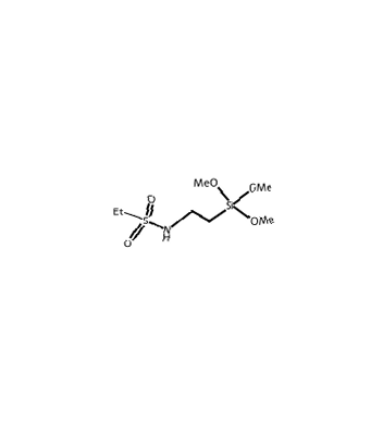 CCS(=O)(=O)NCC[Si](OC)(OC)OC